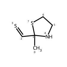 CC1(C=S)NCCS1